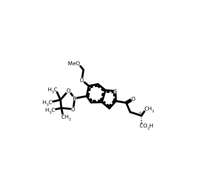 COCOc1cc2sc(C(=O)C[C@H](C)C(=O)O)cc2cc1B1OC(C)(C)C(C)(C)O1